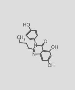 CCCCc1nc2cc(O)cc(O)c2c(=O)n1-c1ccc(O)cc1